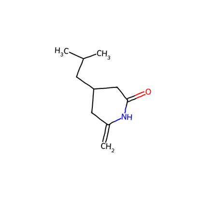 C=C1CC(CC(C)C)CC(=O)N1